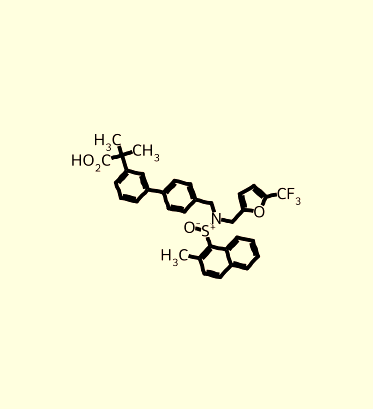 Cc1ccc2ccccc2c1[S+]([O-])N(Cc1ccc(-c2cccc(C(C)(C)C(=O)O)c2)cc1)Cc1ccc(C(F)(F)F)o1